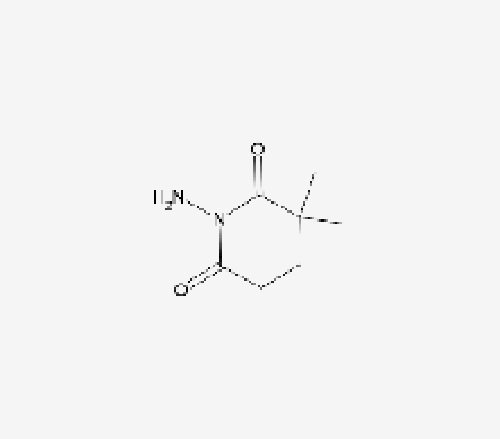 CC1(C)CCC(=O)N(N)C1=O